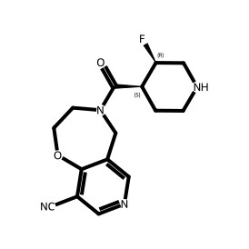 N#Cc1cncc2c1OCCN(C(=O)[C@@H]1CCNC[C@@H]1F)C2